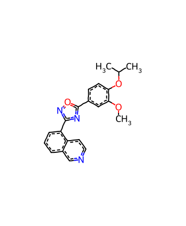 COc1cc(-c2nc(-c3cccc4cnccc34)no2)ccc1OC(C)C